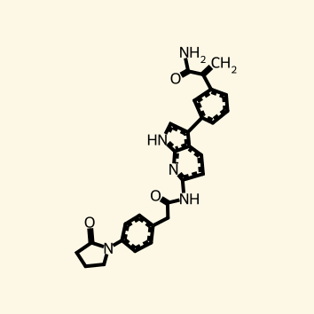 C=C(C(N)=O)c1cccc(-c2c[nH]c3nc(NC(=O)Cc4ccc(N5CCCC5=O)cc4)ccc23)c1